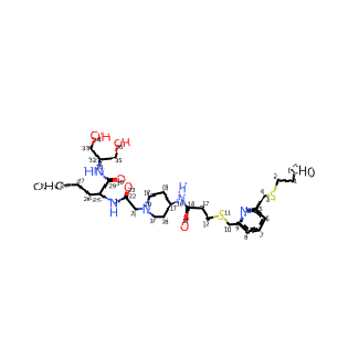 O=CCCSCc1cccc(CSCCC(=O)NC2CCN(CC(=O)NC(CCC=O)C(=O)NC(CO)CO)CC2)n1